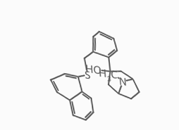 CN1C2CCC1CC(O)(c1ccccc1CSc1cccc3ccccc13)C2